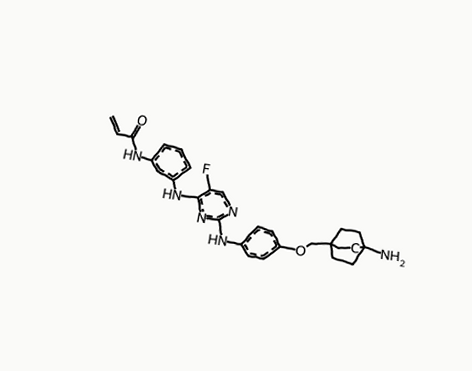 C=CC(=O)Nc1cccc(Nc2nc(Nc3ccc(OCC45CCC(N)(CC4)CC5)cc3)ncc2F)c1